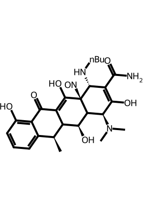 CCCCN[C@@H]1C(C(N)=O)=C(O)[C@@H](N(C)C)C2[C@@H](O)C3C(=C(O)[C@@]21N=O)C(=O)c1c(O)cccc1[C@@H]3C